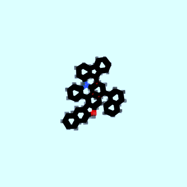 CC12c3ccccc3-c3cccc(c31)N(c1ccccc1-c1cccc3oc4cc5ccccc5cc4c13)c1ccc(-c3cccc4ccccc34)cc12